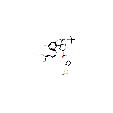 C=C(/C=C\C=C(\Cl)CF)[C@H]1[C@H](C(=O)N[C@H]2C[C@@H](NS(C)(=O)=O)C2)N[C@H](CC(C)(C)C)[C@]12C(=O)Nc1cc(Cl)ccc12